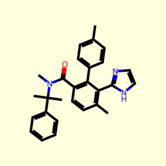 Cc1ccc(-c2c(C(=O)N(C)C(C)(C)c3ccccc3)ccc(C)c2-c2ncc[nH]2)cc1